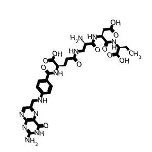 CC[C@H](NC(=O)[C@H](CC(=O)O)NC(=O)[C@@H](N)CNC(=O)CC[C@@H](NC(=O)c1ccc(NCc2cnc3nc(N)[nH]c(=O)c3n2)cc1)C(=O)O)C(=O)O